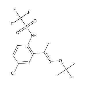 C/C(=N\OC(C)(C)C)c1cc(Cl)ccc1NS(=O)(=O)C(F)(F)F